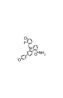 COc1ccc(-c2c[c]c3c4c(C(N)=O)cccc4n(Cc4cccc(Cl)c4F)c3c2)cc1